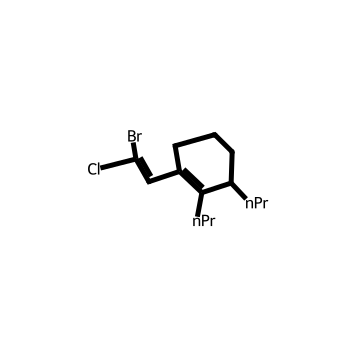 CCCC1=C(C=C(Cl)Br)CCCC1CCC